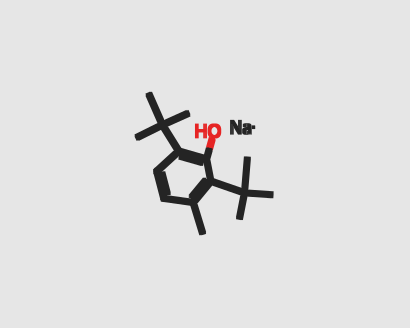 Cc1ccc(C(C)(C)C)c(O)c1C(C)(C)C.[Na]